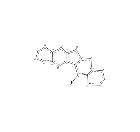 Fc1c2ccccc2cc2sc3cc4ccccc4cc3c12